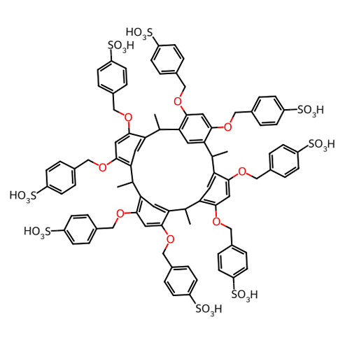 CC1c2cc(c(OCc3ccc(S(=O)(=O)O)cc3)cc2OCc2ccc(S(=O)(=O)O)cc2)C(C)c2cc(c(OCc3ccc(S(=O)(=O)O)cc3)cc2OCc2ccc(S(=O)(=O)O)cc2)C(C)c2cc(c(OCc3ccc(S(=O)(=O)O)cc3)cc2OCc2ccc(S(=O)(=O)O)cc2)C(C)c2cc1c(OCc1ccc(S(=O)(=O)O)cc1)cc2OCc1ccc(S(=O)(=O)O)cc1